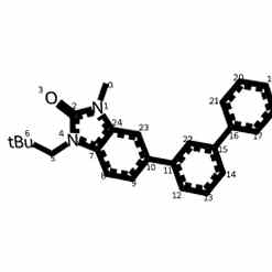 Cn1c(=O)n(CC(C)(C)C)c2ccc(-c3cccc(-c4ccccc4)c3)cc21